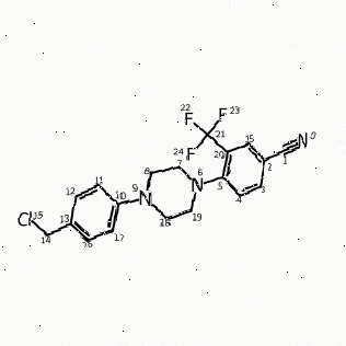 N#Cc1ccc(N2CCN(c3ccc(CCl)cc3)CC2)c(C(F)(F)F)c1